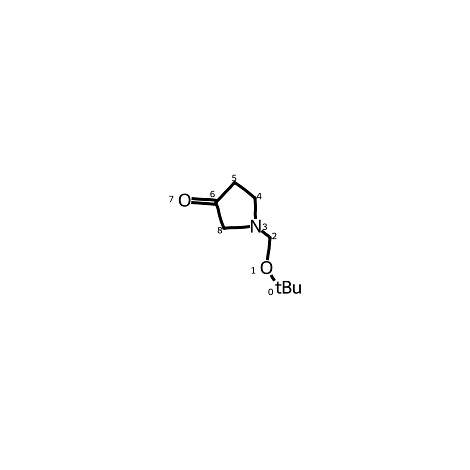 CC(C)(C)OCN1CCC(=O)C1